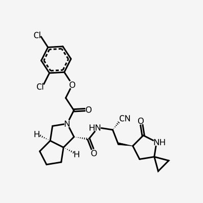 N#C[C@H](C[C@@H]1CC2(CC2)NC1=O)NC(=O)[C@@H]1[C@H]2CCC[C@H]2CN1C(=O)COc1ccc(Cl)cc1Cl